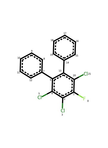 Fc1c(Cl)c(Cl)c(-c2ccccc2)c(-c2ccccc2)c1Cl